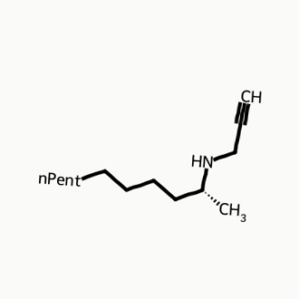 C#CCN[C@H](C)CCCCCCCCC